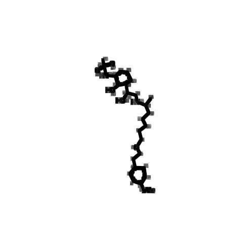 CSc1ccc(CCOCCCCCC(C)NC[C@@H](O)c2cccc(NS(C)(=O)=O)c2O)cc1